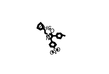 Cc1ccc(-c2c(-c3ccc(S(C)(=O)=O)cc3)nn(CCc3ccccc3)c2OC=O)cc1